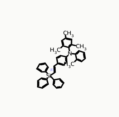 Cc1cc(C)c(N(c2ccc(/C=C/[Si](c3ccccc3)(c3ccccc3)c3ccccc3)cc2)c2ccccc2C)c(C)c1